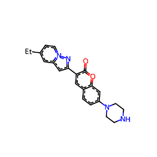 CCc1ccn2nc(-c3cc4ccc(N5CCNCC5)cc4oc3=O)cc2c1